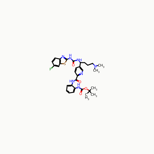 CN(C)CCCC(NC(=O)Nc1nc2ccc(F)cc2s1)c1ccc(C(=O)Nc2ccccc2NC(=O)OC(C)(C)C)nc1